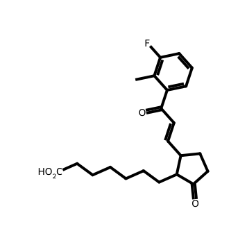 Cc1c(F)cccc1C(=O)C=CC1CCC(=O)C1CCCCCCC(=O)O